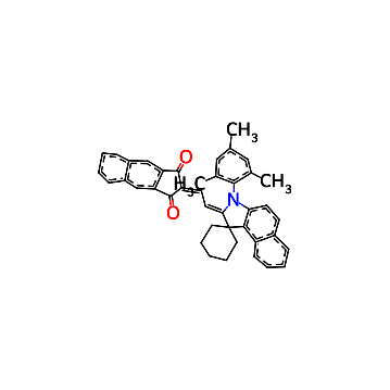 Cc1cc(C)c(N2/C(=C\C=C3C(=O)c4cc5ccccc5cc4C3=O)C3(CCCCC3)c3c2ccc2ccccc32)c(C)c1